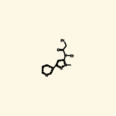 CCN(C(=O)CC(C)C)c1cc(-c2cccnc2)nn1C